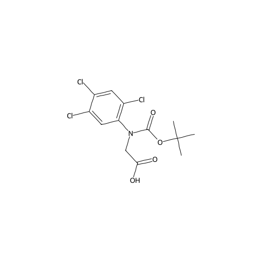 CC(C)(C)OC(=O)N(CC(=O)O)c1cc(Cl)c(Cl)cc1Cl